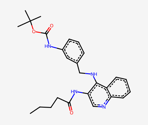 CCCCC(=O)Nc1cnc2ccccc2c1NCc1cccc(NC(=O)OC(C)(C)C)c1